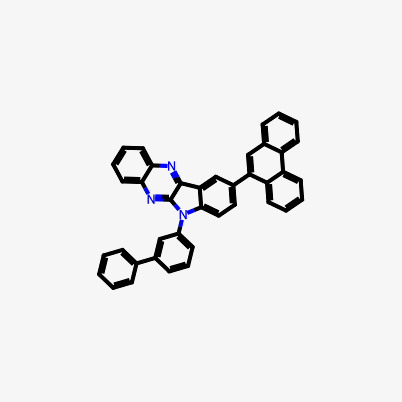 c1ccc(-c2cccc(-n3c4ccc(-c5cc6ccccc6c6ccccc56)cc4c4nc5ccccc5nc43)c2)cc1